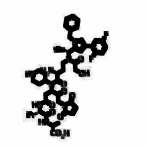 CC(C)[C@H](NC(=O)CC(C(=O)CN1C(=O)C=CC1=O)N(C(=O)[C@@H](N)CCN(C(=O)CO)[C@@H](c1cc(-c2cc(F)ccc2F)cn1Cc1ccccc1)C(C)(C)C)C1CCNCC1)C(=O)N[C@@H](C)C(=O)O